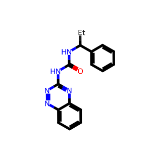 CCC(NC(=O)Nc1nnc2ccccc2n1)c1ccccc1